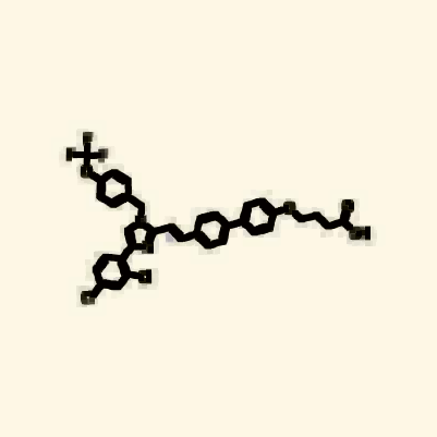 O=C(O)CCCOc1ccc(-c2ccc(/C=C/c3nc(-c4ccc(Cl)cc4Cl)cn3Cc3ccc(OC(F)(F)F)cc3)cc2)cc1